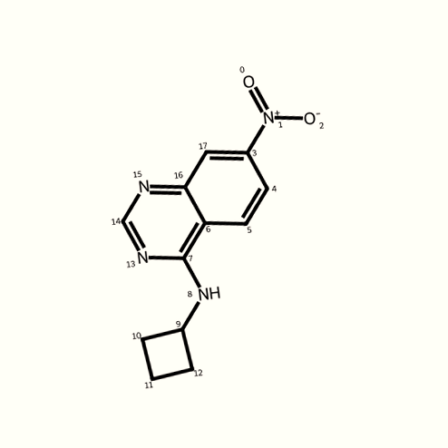 O=[N+]([O-])c1ccc2c(NC3CCC3)ncnc2c1